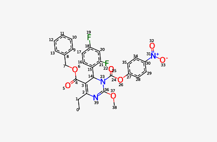 CCC1=C(C(=O)OCc2ccccc2)C(c2ccc(F)cc2F)N(C(=O)Oc2ccc([N+](=O)[O-])cc2)C(OC)=N1